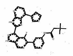 CC(C)(C)CC(=O)Nc1cncc(-c2ncc3[nH]nc(-c4nc5c(-c6ccsc6)ccnc5[nH]4)c3c2F)c1